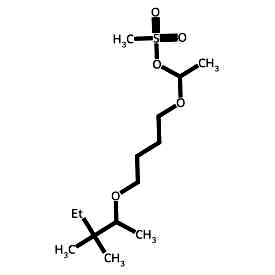 CCC(C)(C)C(C)OCCCCOC(C)OS(C)(=O)=O